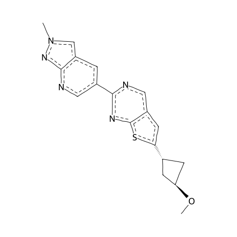 CO[C@H]1C[C@H](c2cc3cnc(-c4cnc5nn(C)cc5c4)nc3s2)C1